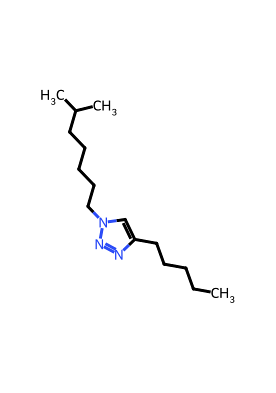 CCCCCc1cn(CCCCCC(C)C)nn1